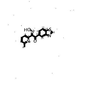 Cc1cccc(C(=NO)C(=O)c2ccc3scnc3c2)n1